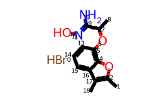 Br.Cc1oc2c(OC(C)C(N)=NO)cccc2c1C